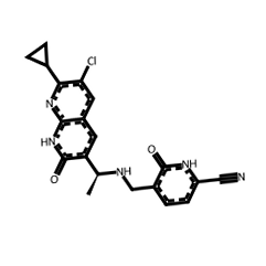 C[C@H](NCc1ccc(C#N)[nH]c1=O)c1cc2cc(Cl)c(C3CC3)nc2[nH]c1=O